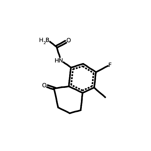 BC(=O)Nc1cc(F)c(C)c2c1C(=O)CCC2